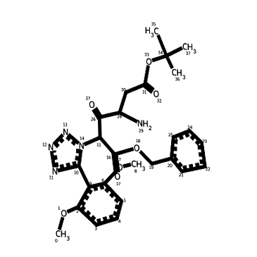 COc1cccc(OC)c1-c1nnnn1C(C(=O)OCc1ccccc1)C(=O)C(N)CC(=O)OC(C)(C)C